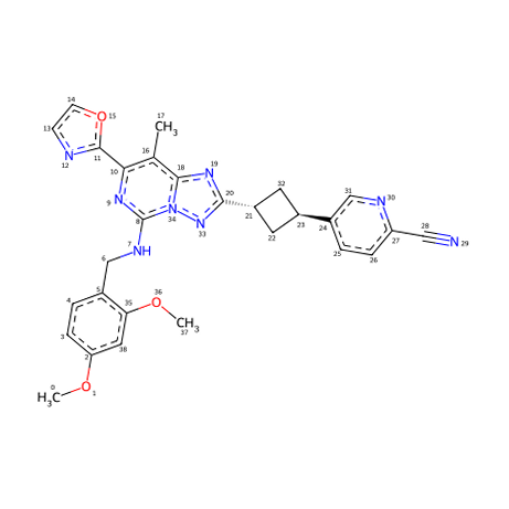 COc1ccc(CNc2nc(-c3ncco3)c(C)c3nc([C@H]4C[C@H](c5ccc(C#N)nc5)C4)nn23)c(OC)c1